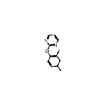 CC1C=CC(Oc2ncccn2)=C(I)C1